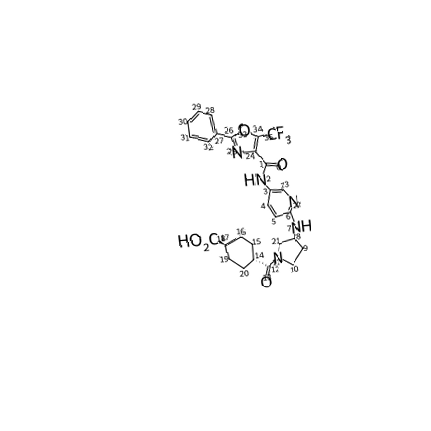 O=C(Nc1ccc(N[C@H]2CCN(C(=O)[C@H]3CC[C@H](C(=O)O)CC3)C2)nc1)c1nc(-c2ccccc2)oc1C(F)(F)F